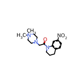 C[N+]1(C)CCN(CC(=O)N2CCCc3ccc([N+](=O)[O-])cc32)CC1